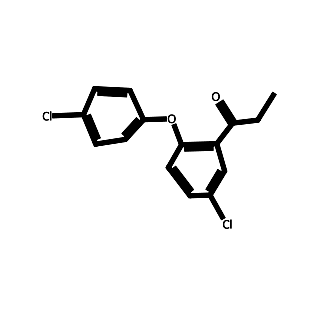 CCC(=O)c1cc(Cl)ccc1Oc1ccc(Cl)cc1